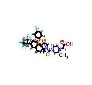 C[C@@H]1CN(C(=O)N2CC[C@@]3(S(=O)(=O)c4ccc(F)cc4)c4ccc(C(F)(C(F)(F)F)C(F)(F)F)cc4CC[C@@H]23)CCN1CC(=O)O